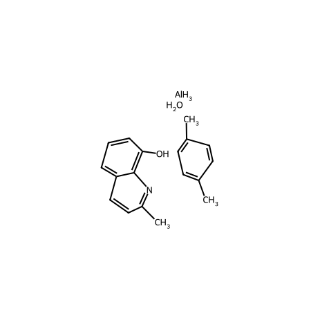 Cc1ccc(C)cc1.Cc1ccc2cccc(O)c2n1.O.[AlH3]